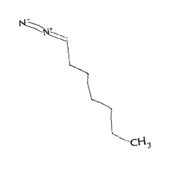 CCCCCCC=[N+]=[N-]